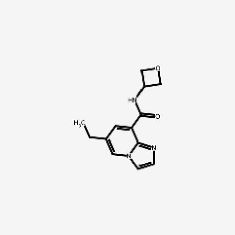 CCc1cc(C(=O)NC2COC2)c2nccn2c1